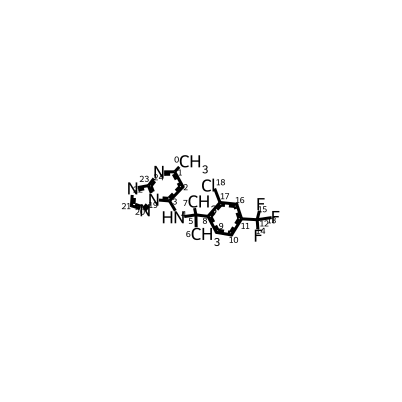 Cc1cc(NC(C)(C)c2ccc(C(F)(F)F)cc2Cl)n2ncnc2n1